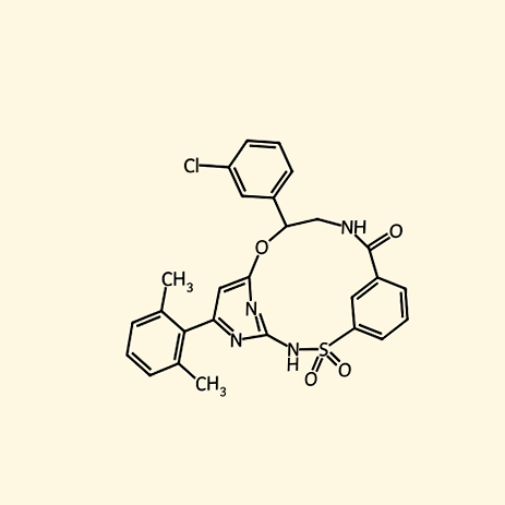 Cc1cccc(C)c1-c1cc2nc(n1)NS(=O)(=O)c1cccc(c1)C(=O)NCC(c1cccc(Cl)c1)O2